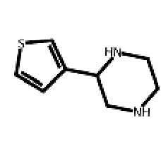 c1cc(C2CNCCN2)cs1